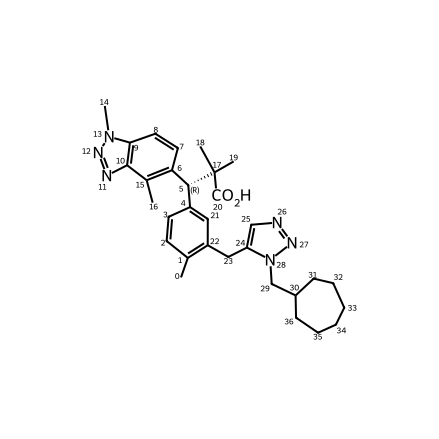 Cc1ccc([C@H](c2ccc3c(nnn3C)c2C)C(C)(C)C(=O)O)cc1Cc1cnnn1CC1CCCCCC1